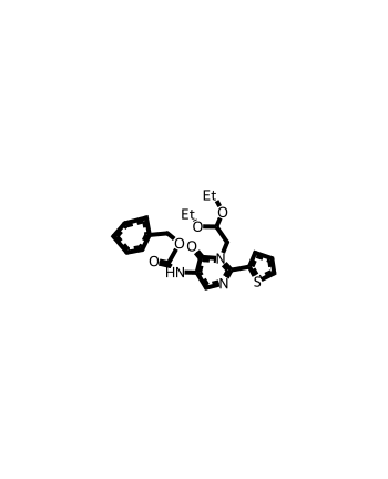 CCOC(Cn1c(-c2cccs2)ncc(NC(=O)OCc2ccccc2)c1=O)OCC